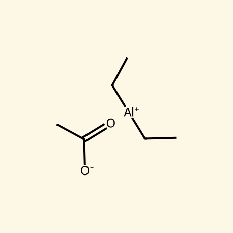 CC(=O)[O-].C[CH2][Al+][CH2]C